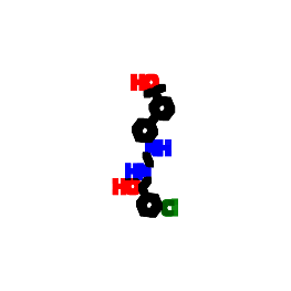 CC(C)(O)c1cccc(-c2cccc(NCCNCC(O)c3cccc(Cl)c3)c2)c1